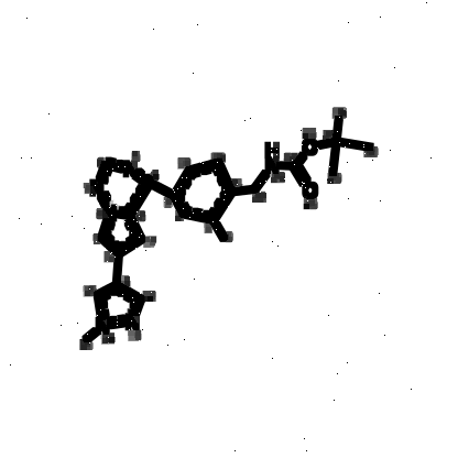 Cc1cc(-c2ncnn3cc(-c4cnn(C)c4)cc23)ccc1CNC(=O)OC(C)(C)C